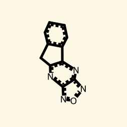 c1ccc2c(c1)Cc1nc3nonc3nc1-2